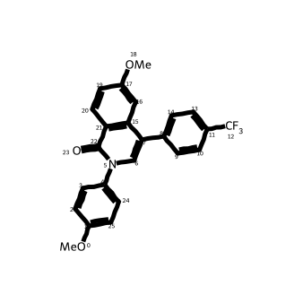 COc1ccc(-n2cc(-c3ccc(C(F)(F)F)cc3)c3cc(OC)ccc3c2=O)cc1